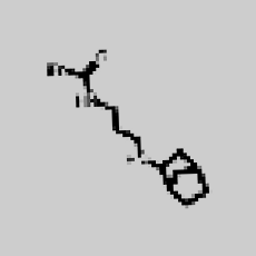 CC(C)C(=O)NCCCNC1CC2CCC1C2